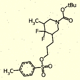 Cc1ccc(S(=O)(=O)OCCCC2CN(C(=O)OC(C)(C)C)CC(C)C2(F)F)cc1